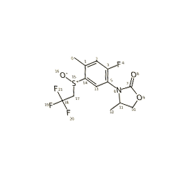 Cc1cc(F)c(N2C(=O)OCC2C)cc1[S+]([O-])CC(F)(F)F